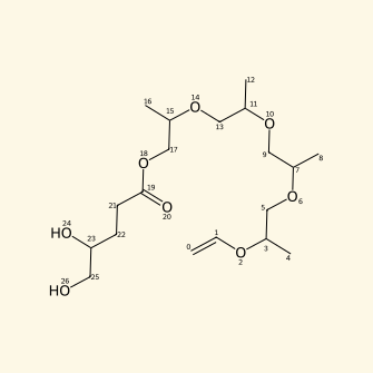 C=COC(C)COC(C)COC(C)COC(C)COC(=O)CCC(O)CO